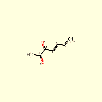 C=CC=CC(=O)C(C)=O